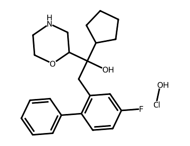 OC(Cc1cc(F)ccc1-c1ccccc1)(C1CCCC1)C1CNCCO1.OCl